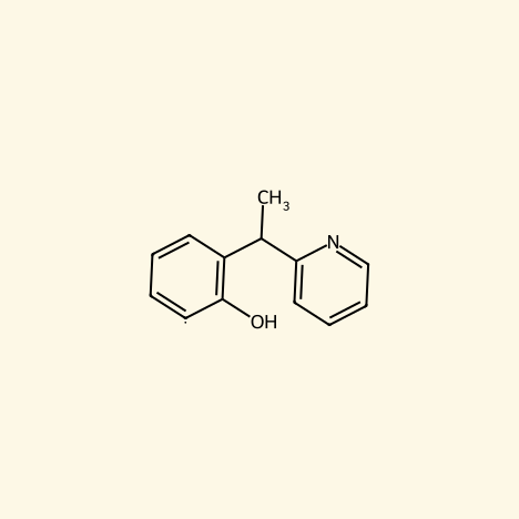 CC(c1ccccn1)c1ccc[c]c1O